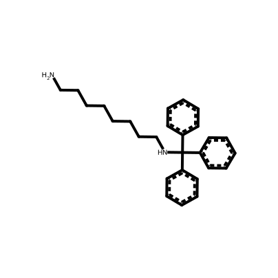 NCCCCCCCCNC(c1ccccc1)(c1ccccc1)c1ccccc1